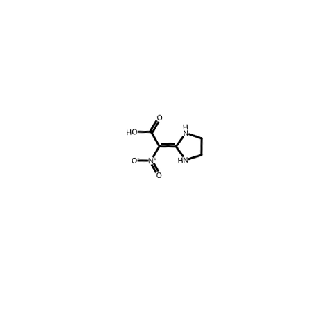 O=C(O)C(=C1NCCN1)[N+](=O)[O-]